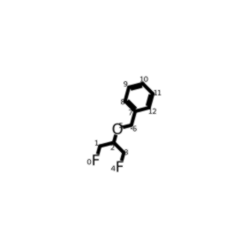 FCC(CF)O[CH]c1ccccc1